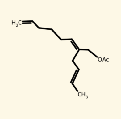 C=CCCC/C=C(\C/C=C/C)COC(C)=O